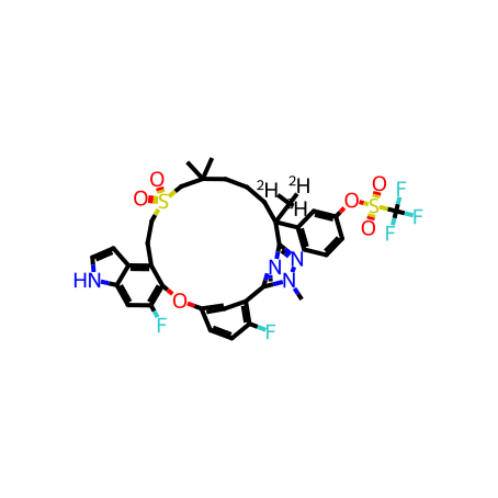 [2H]C([2H])([2H])C1(c2cccc(OS(=O)(=O)C(F)(F)F)c2)CCCC(C)(C)CS(=O)(=O)CCc2c(c(F)cc3[nH]ccc23)Oc2ccc(F)c(c2)-c2nc1nn2C